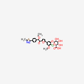 CCOC(C(=O)c1ccc(-c2cc(OC)c(Cl)c(O[C@H]3O[C@H](C(=O)O)[C@@H](O)[C@H](O)[C@H]3O)c2)o1)c1ccc(-c2nnc(C)s2)cc1